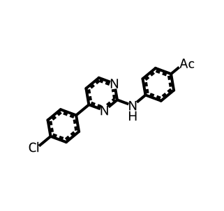 CC(=O)c1ccc(Nc2nccc(-c3ccc(Cl)cc3)n2)cc1